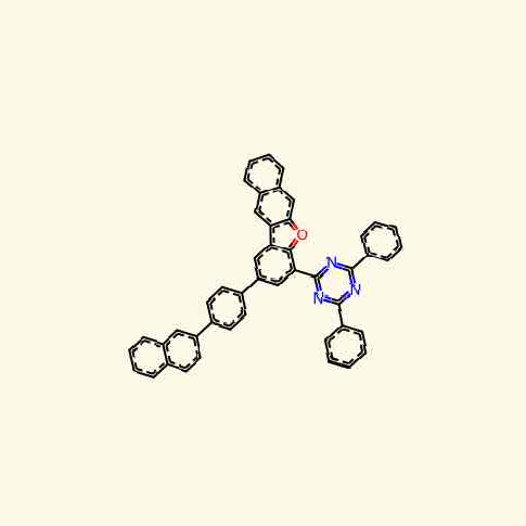 c1ccc(-c2nc(-c3ccccc3)nc(-c3cc(-c4ccc(-c5ccc6ccccc6c5)cc4)cc4c3oc3cc5ccccc5cc34)n2)cc1